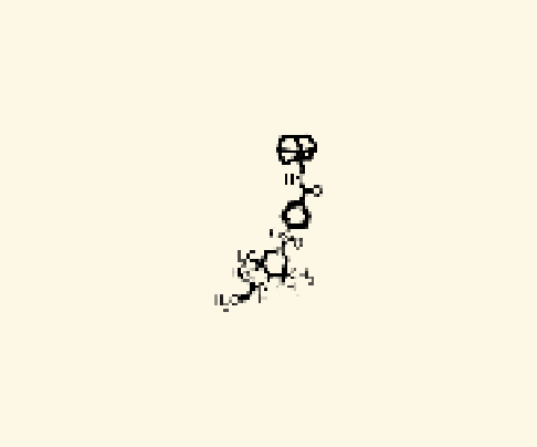 C=CC(=O)NC1C(C)(C)CN(S(=O)(=O)c2ccc(C(=O)NCC34CC5CC(CC(C5)C3)C4)cc2)CC1(C)C